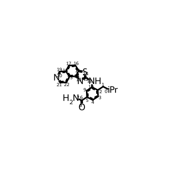 CC(C)Cc1ccc(C(N)=O)cc1Nc1nc2c(ccc3cnccc32)s1